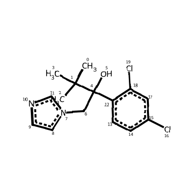 CC(C)(C)C(O)(Cn1ccnc1)c1ccc(Cl)cc1Cl